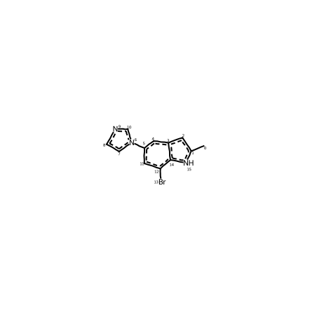 Cc1cc2cc(-n3ccnc3)cc(Br)c2[nH]1